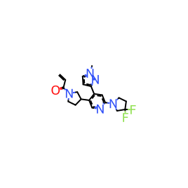 C=CC(=O)N1CCC(c2cnc(N3CCC(F)(F)C3)cc2-c2ccn(C)n2)C1